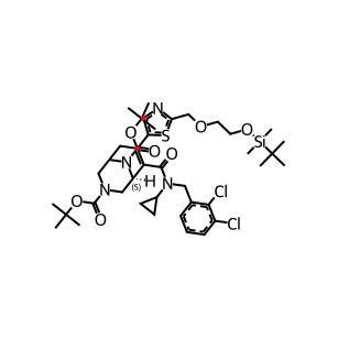 CC(C)(C)OC(=O)N1CC2CC(c3cnc(COCCO[Si](C)(C)C(C)(C)C)s3)=C(C(=O)N(Cc3cccc(Cl)c3Cl)C3CC3)[C@@H](C1)N2C(=O)OC(C)(C)C